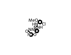 CNC(=O)c1cc(Oc2ccc3[nH]c(Nc4cc(Cl)ccc4OC)nc3c2)ccn1